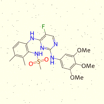 COc1cc(Nc2ncc(F)c(Nc3ccc(C)c(C)c3NS(C)(=O)=O)n2)cc(OC)c1OC